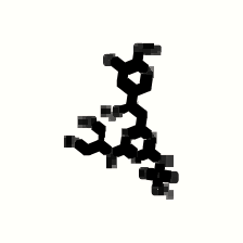 COc1ncc([C@H](C)Cc2nc(N[C@@H](CO)CC(C)C)nc(NS(C)(=O)=O)n2)cc1Cl